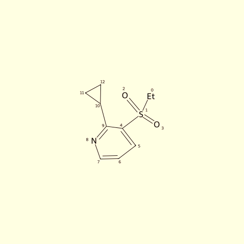 CCS(=O)(=O)c1cccnc1C1CC1